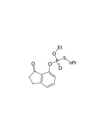 CCCSP(=O)(OCC)Oc1cccc2c1C(=O)CC2